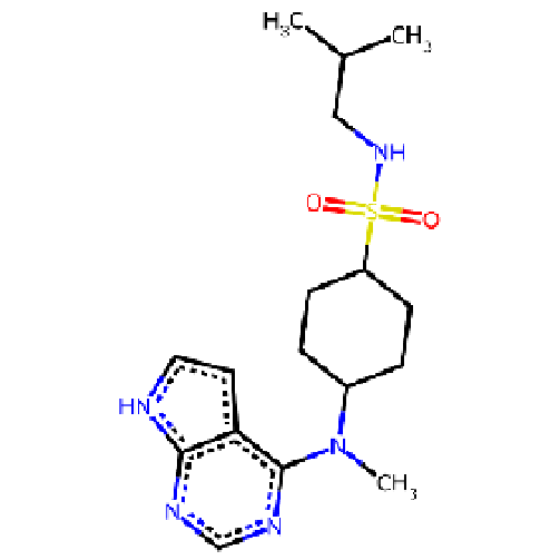 CC(C)CNS(=O)(=O)C1CCC(N(C)c2ncnc3[nH]ccc23)CC1